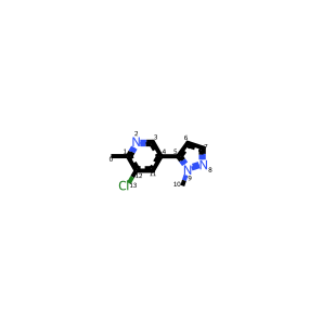 Cc1ncc(-c2ccnn2C)cc1Cl